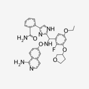 CCOc1cc(OC2CCOC2)c(F)c(C(NOc2ccc3c(N)nccc3c2)c2nc(-c3ccccc3C(N)=O)c[nH]2)c1